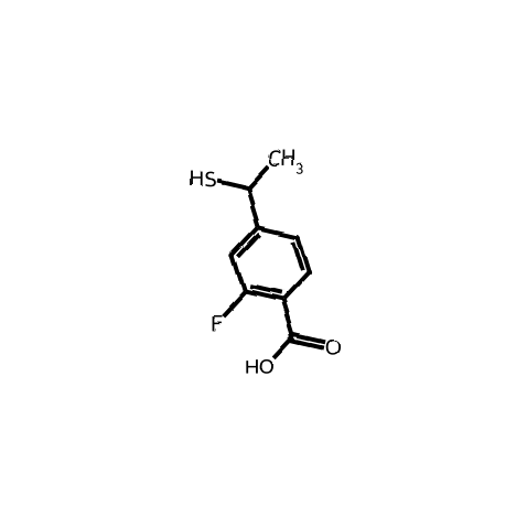 CC(S)c1ccc(C(=O)O)c(F)c1